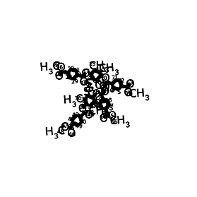 COC(=O)c1ccc(C(=O)Oc2c(C)c(C)c(OC(=O)c3ccc(C(=O)OC)cc3)c(SSSc3c(C)c(OC(=O)c4ccc(C(=O)OC)cc4)c(C)c(C)c3OC(=O)c3ccc(C(=O)OC)cc3)c2C)cc1